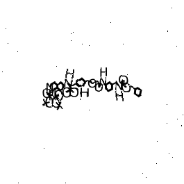 CC(C)(C)OC(=O)N(C(=O)OC(C)(C)C)c1nccc2cc(NC(C(=O)O)c3ccc(COCC(=O)Nc4cccc(CNC(=O)OCc5ccccc5)c4)cc3)ccc12